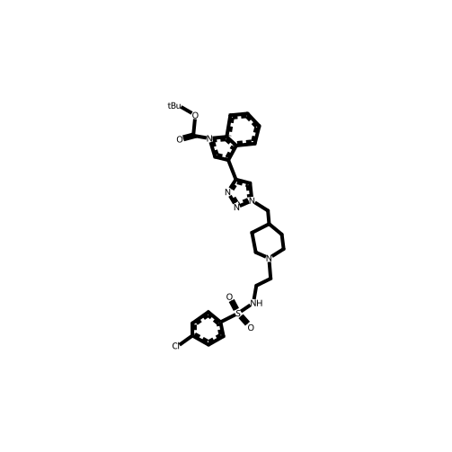 CC(C)(C)OC(=O)n1cc(-c2cn(CC3CCN(CCNS(=O)(=O)c4ccc(Cl)cc4)CC3)nn2)c2ccccc21